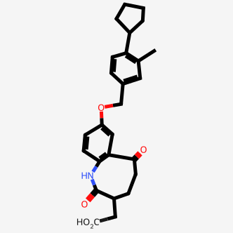 Cc1cc(COc2ccc3c(c2)C(=O)CCC(CC(=O)O)C(=O)N3)ccc1C1CCCC1